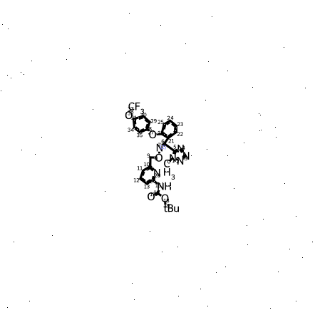 Cn1nnnc1/C(=N\OCc1cccc(NC(=O)OC(C)(C)C)n1)c1ccccc1Oc1ccc(OC(F)(F)F)cc1